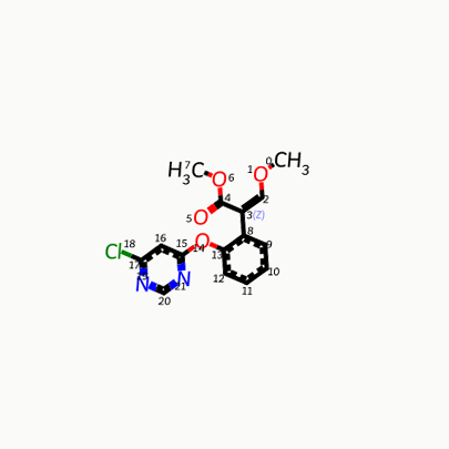 CO/C=C(\C(=O)OC)c1ccccc1Oc1cc(Cl)ncn1